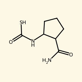 NC(=O)C1CCCC1NC(=O)S